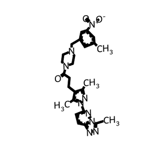 Cc1cc(CN2CCN(C(=O)CCc3c(C)nn(-c4ccc5nnc(C)n5n4)c3C)CC2)cc([N+](=O)[O-])c1